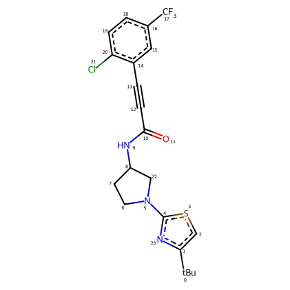 CC(C)(C)c1csc(N2CCC(NC(=O)C#Cc3cc(C(F)(F)F)ccc3Cl)C2)n1